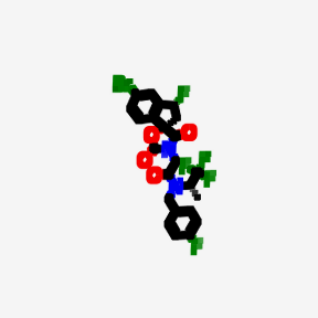 C[C@H](N(Cc1ccc(F)cc1)C(=O)CN1C(=O)O[C@]2(C[C@@H](F)c3cc(Br)ccc32)C1=O)C(F)(F)F